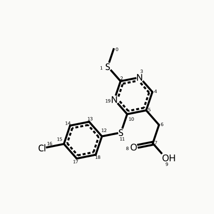 CSc1ncc(CC(=O)O)c(Sc2ccc(Cl)cc2)n1